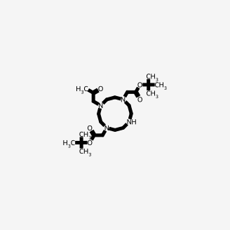 CC(=O)CN1CCN(CC(=O)OC(C)(C)C)CCNCCN(CC(=O)OC(C)(C)C)CC1